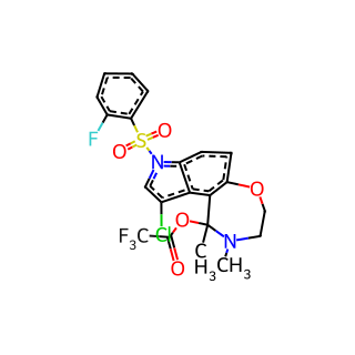 CN1CCOc2ccc3c(c(Cl)cn3S(=O)(=O)c3ccccc3F)c2C1(C)OC(=O)C(F)(F)F